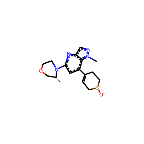 C[C@@H]1COCCN1c1cc(C2=CC[S+]([O-])CC2)c2c(cnn2C)n1